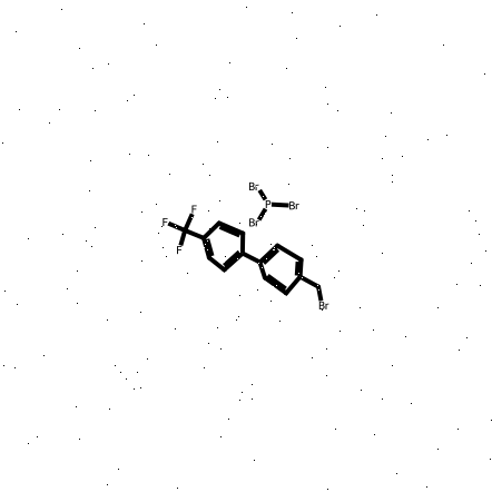 BrP(Br)Br.FC(F)(F)c1ccc(-c2ccc(CBr)cc2)cc1